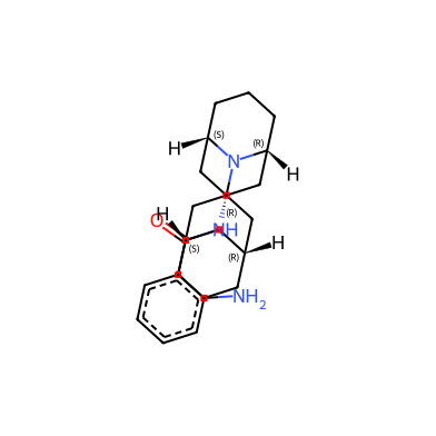 Nc1ccccc1C(=O)N[C@H]1C[C@H]2CCC[C@@H](C1)N2C1C[C@H]2CCC[C@@H](C1)C2